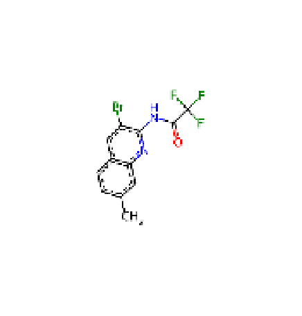 Cc1ccc2cc(Br)c(NC(=O)C(F)(F)F)nc2c1